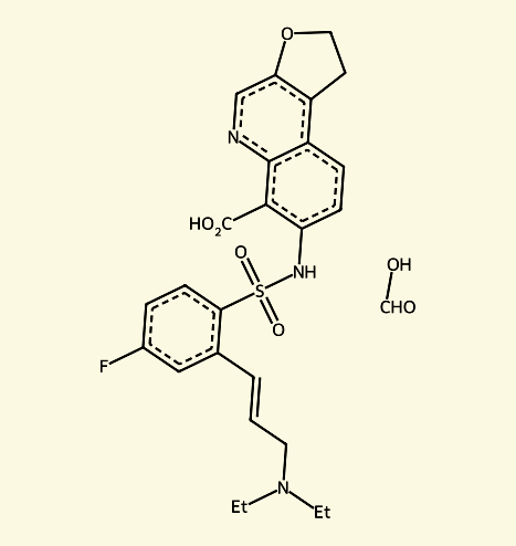 CCN(CC)CC=Cc1cc(F)ccc1S(=O)(=O)Nc1ccc2c3c(cnc2c1C(=O)O)OCC3.O=CO